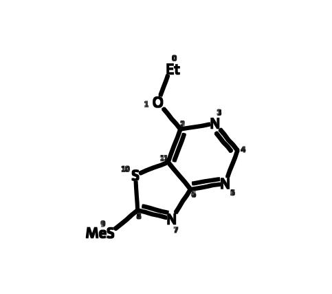 CCOc1ncnc2nc(SC)sc12